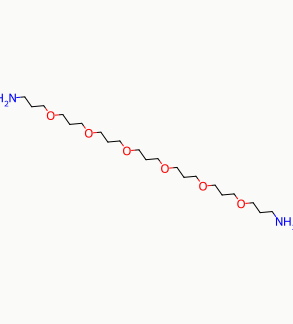 NCCCOCCCOCCCOCCCOCCCOCCCOCCCN